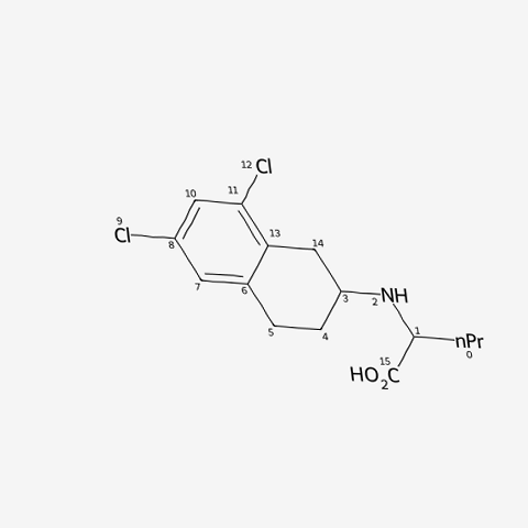 CCCC(NC1CCc2cc(Cl)cc(Cl)c2C1)C(=O)O